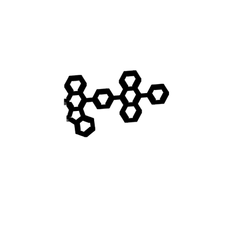 c1ccc(-c2c3ccccc3c(-c3ccc(-c4c5ccccc5nc5sc6ccccc6c45)cc3)c3ccccc23)cc1